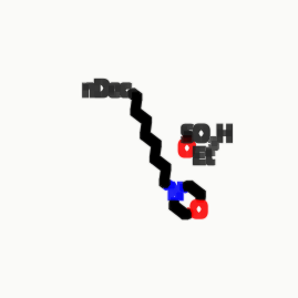 CCCCCCCCCCCCCCCCCCN1CCOCC1.CCOS(=O)(=O)O